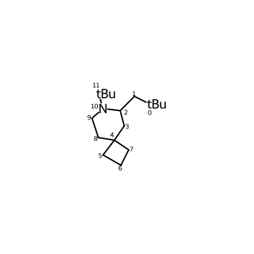 CC(C)(C)CC1CC2(CCC2)CCN1C(C)(C)C